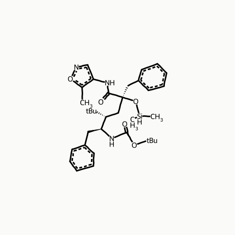 Cc1oncc1NC(=O)[C@](Cc1ccccc1)(C[C@H]([C@H](Cc1ccccc1)NC(=O)OC(C)(C)C)C(C)(C)C)O[SiH](C)C